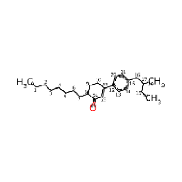 CCCCCCCCC1CCC(c2ccc(CC(C)CC)cc2)=CC1=O